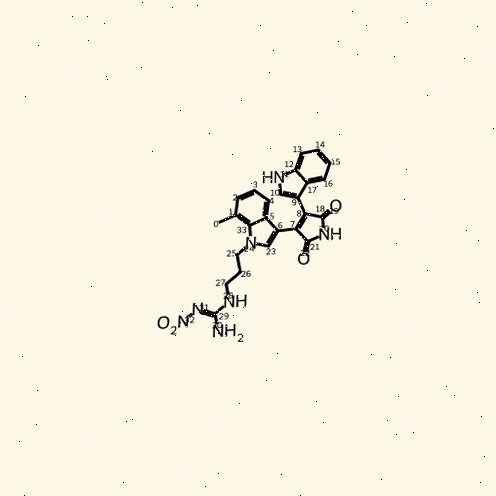 Cc1cccc2c(C3=C(c4c[nH]c5ccccc45)C(=O)NC3=O)cn(CCCNC(N)=N[N+](=O)[O-])c12